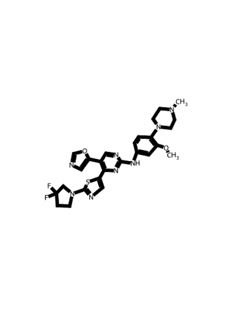 COc1cc(Nc2ncc(-c3cnco3)c(-c3cnc(N4CCC(F)(F)C4)s3)n2)ccc1N1CCN(C)CC1